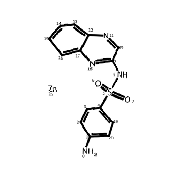 Nc1ccc(S(=O)(=O)Nc2cnc3ccccc3n2)cc1.[Zn]